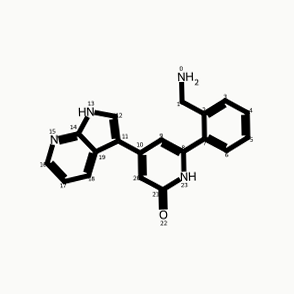 NCc1ccccc1-c1cc(-c2c[nH]c3ncccc23)cc(=O)[nH]1